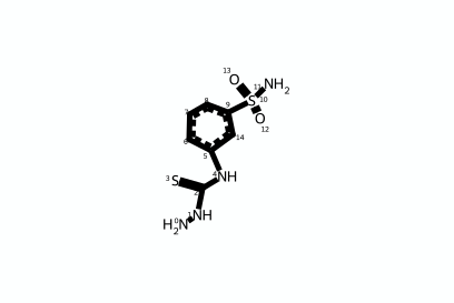 NNC(=S)Nc1cccc(S(N)(=O)=O)c1